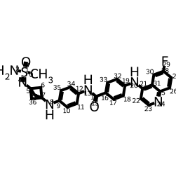 CS(N)(=O)=NC12CC(Nc3ccc(NC(=O)c4ccc(Nc5ccnc6ccc(F)cc56)cc4)cc3)(C1)C2